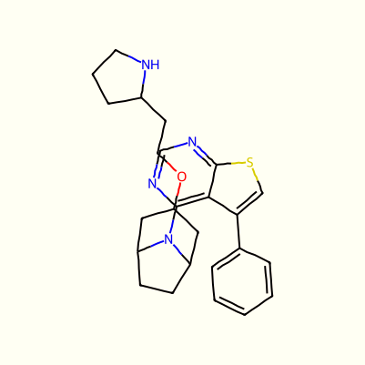 c1ccc(-c2csc3ncnc(N4C5CCC4CC(OCCC4CCCN4)C5)c23)cc1